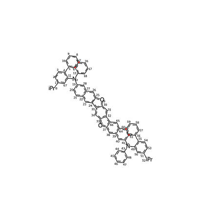 CC(C)c1ccc(-c2ccccc2)c(N(c2ccccc2)c2ccc3cc4c(cc3c2)oc2cc3c(cc24)oc2cc4cc(N(c5ccccc5)c5cc(C(C)C)ccc5-c5ccccc5)ccc4cc23)c1